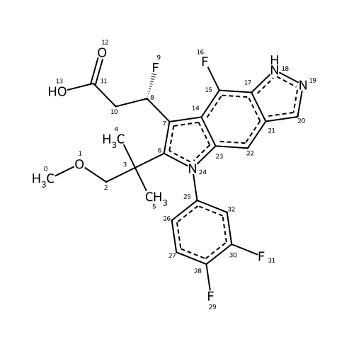 COCC(C)(C)c1c([C@@H](F)CC(=O)O)c2c(F)c3[nH]ncc3cc2n1-c1ccc(F)c(F)c1